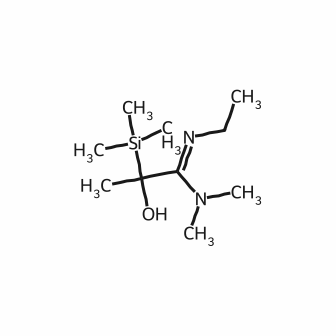 CCN=C(N(C)C)C(C)(O)[Si](C)(C)C